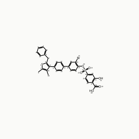 Cc1sc(Cc2ccccc2)c(-c2ccc(-c3ccc(OS(=O)(=O)c4ccc(C(=O)O)c(O)c4)c(Br)c3)cc2)c1C